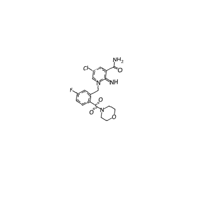 N=c1c(C(N)=O)cc(Cl)cn1Cc1cc(F)ccc1S(=O)(=O)N1CCOCC1